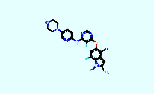 CCc1c(Oc2ncnc(Nc3ccc(N4CCNCC4)cn3)c2F)cc(F)c2c1cc(C)n2C(C)C